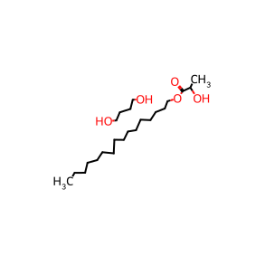 CCCCCCCCCCCCCCCCOC(=O)C(C)O.OCCCCO